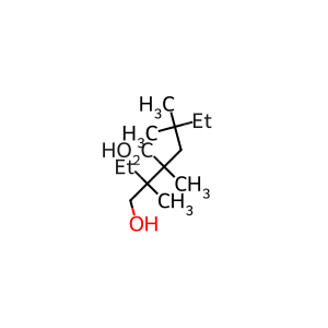 CCC(C)(C)CC(C)(C(=O)O)C(C)(CC)CO